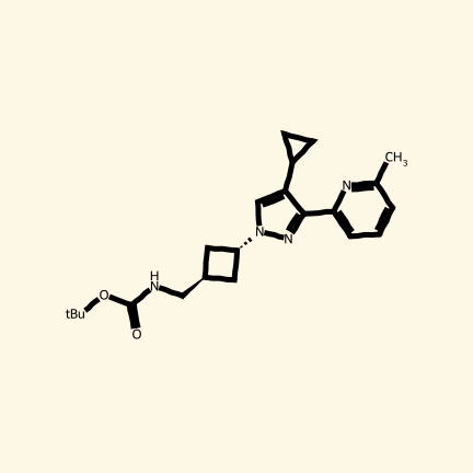 Cc1cccc(-c2nn([C@H]3C[C@H](CNC(=O)OC(C)(C)C)C3)cc2C2CC2)n1